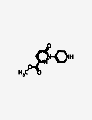 COC(=O)c1ccc(=O)n(C2=CCNCC2)n1